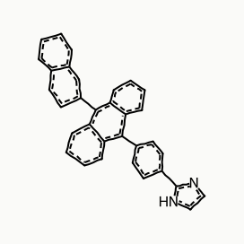 c1ccc2cc(-c3c4ccccc4c(-c4ccc(-c5ncc[nH]5)cc4)c4ccccc34)ccc2c1